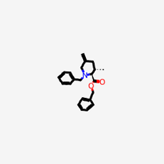 C=C1C[C@H](C)[C@@H](C(=O)OCc2ccccc2)N(Cc2ccccc2)C1